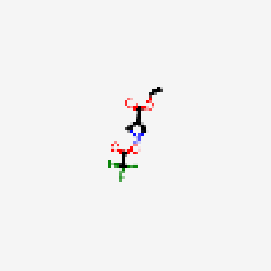 CCOC(=O)C1CN(OC(=O)C(F)(F)F)C1